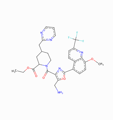 CCOC(=O)C1CC(Cc2ncccn2)CCN1C(=O)c1nc(-c2ccc(OC)c3nc(C(F)(F)F)ccc23)oc1CN